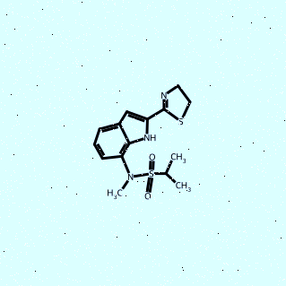 CC(C)S(=O)(=O)N(C)c1cccc2cc(C3=NCCS3)[nH]c12